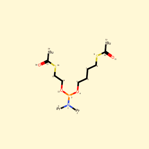 CC(C)N(C(C)C)P(OCCCCSC(=O)C(C)(C)C)OCCSC(=O)C(C)(C)C